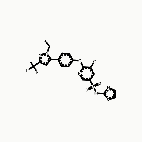 CCn1nc(C(F)(F)F)cc1-c1ccc(Oc2ncc(S(=O)(=O)Nc3nccs3)cc2Cl)cc1